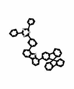 c1ccc(-c2nc(-c3ccccc3)nc(-c3cccc(-c4cccc5c4sc4c(-c6ccc7c(c6)C6(c8ccccc8-c8ccccc86)c6ccccc6-7)cccc45)c3)n2)cc1